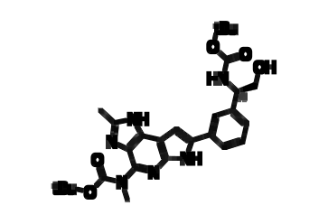 Cc1nc2c(N(C)C(=O)OC(C)(C)C)nc3[nH]c(-c4cccc([C@H](CO)NC(=O)OC(C)(C)C)c4)cc3c2[nH]1